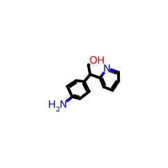 Nc1ccc(C(CO)c2ccccn2)cc1